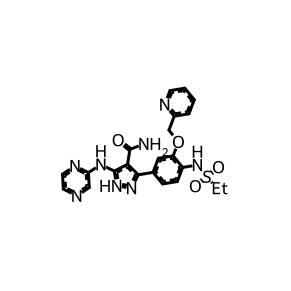 CCS(=O)(=O)Nc1ccc(-c2n[nH]c(Nc3cnccn3)c2C(N)=O)cc1OCc1ccccn1